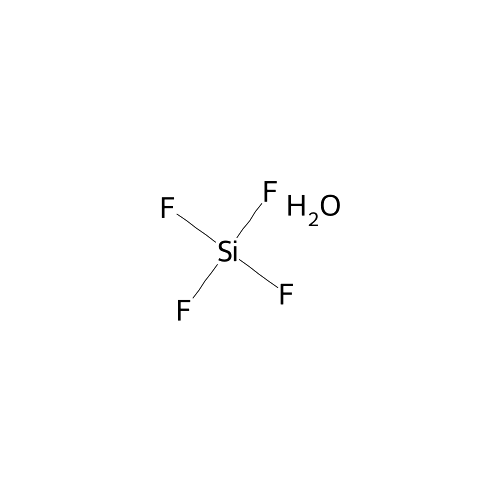 F[Si](F)(F)F.O